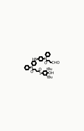 CC(C)(C)c1cc(SC(=O)CCC(=O)N(c2ccccc2)c2ccc(Nc3ccc(N(C(=O)CCC=O)c4ccccc4)cc3)cc2)cc(C(C)(C)C)c1O